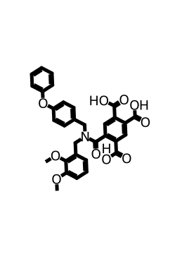 COc1cccc(CN(Cc2ccc(Oc3ccccc3)cc2)C(=O)c2cc(C(=O)O)c(C(=O)O)cc2C(=O)O)c1OC